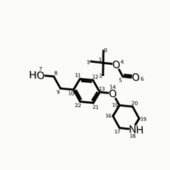 CC(C)(C)OC=O.OCCc1ccc(OC2CCNCC2)cc1